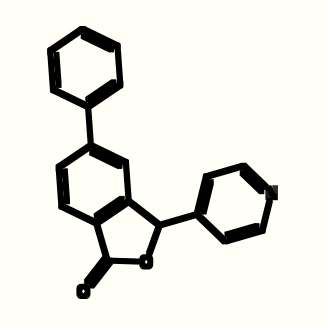 O=C1OC(c2ccncc2)c2cc(-c3ccccc3)ccc21